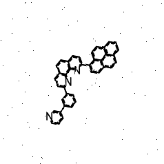 c1cncc(-c2cccc(-c3ccc4ccc5ccc(-c6ccc7ccc8cccc9ccc6c7c89)nc5c4n3)c2)c1